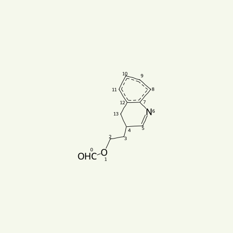 O=COCCC1C=Nc2ccccc2C1